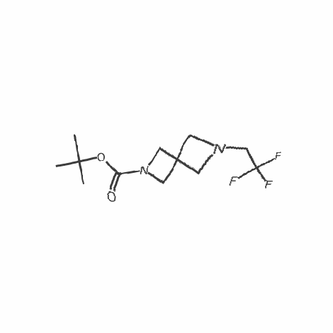 CC(C)(C)OC(=O)N1CC2(CN(CC(F)(F)F)C2)C1